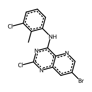 Cc1c(Cl)cccc1Nc1nc(Cl)nc2cc(Br)cnc12